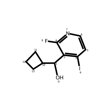 OC(c1c(I)ccnc1F)C1CCC1